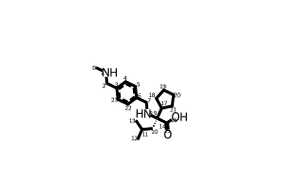 CNCc1ccc(CN[C@](CC(C)C)(C(=O)O)C2CCCC2)cc1